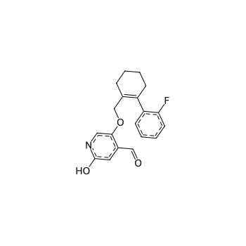 O=Cc1cc(O)ncc1OCC1=C(c2ccccc2F)CCCC1